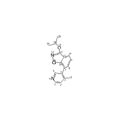 Cc1ccncc1-c1cccc2c(OC(C)C)noc12